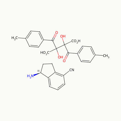 Cc1ccc(C(=O)C(O)(C(=O)O)C(O)(C(=O)O)C(=O)c2ccc(C)cc2)cc1.N#Cc1cccc2c1CC[C@@H]2N